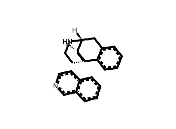 c1ccc2c(c1)C[C@H]1NCC[C@@]23CCCC[C@@H]13.c1ccc2cnccc2c1